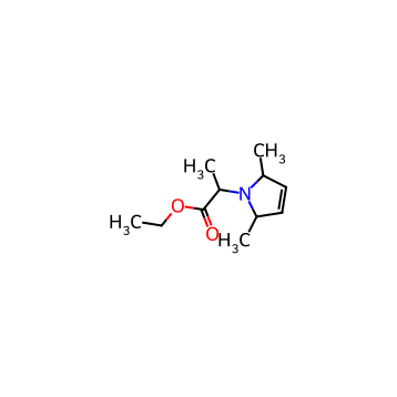 CCOC(=O)C(C)N1C(C)C=CC1C